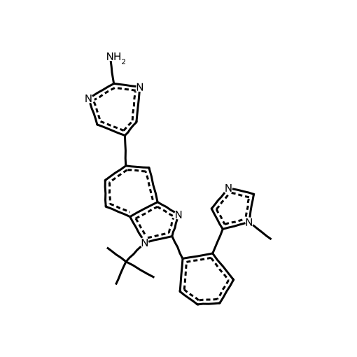 Cn1cncc1-c1ccccc1-c1nc2cc(-c3cnc(N)nc3)ccc2n1C(C)(C)C